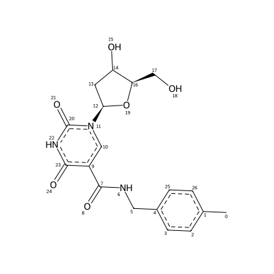 Cc1ccc(CNC(=O)c2cn([C@H]3CC(O)[C@@H](CO)O3)c(=O)[nH]c2=O)cc1